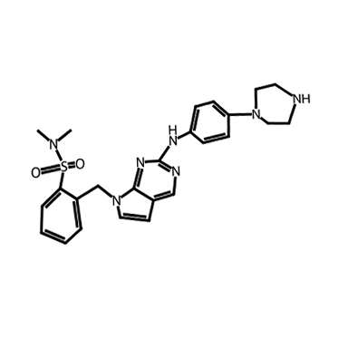 CN(C)S(=O)(=O)c1ccccc1Cn1ccc2cnc(Nc3ccc(N4CCNCC4)cc3)nc21